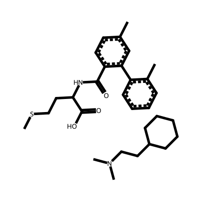 CN(C)CCC1CCCCC1.CSCCC(NC(=O)c1ccc(C)cc1-c1ccccc1C)C(=O)O